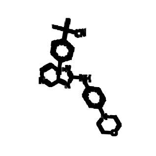 CC(C)(C#N)c1ccc([N+]23C=CN=CC2=NC(Nc2ccc(N4CCOCC4)cc2)=N3)cc1